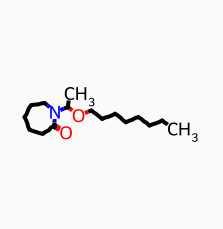 CCCCCCCCOC(C)N1CCCCCC1=O